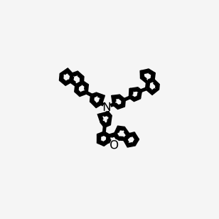 c1ccc2c(-c3ccc(-c4ccc(N(c5ccc(-c6ccc7c(ccc8ccccc87)c6)cc5)c5ccc(-c6cccc7oc8c9ccccc9ccc8c67)cc5)cc4)cc3)cccc2c1